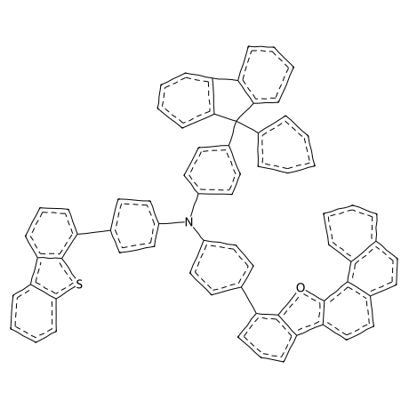 c1ccc(C2(c3ccc(N(c4ccc(-c5cccc6c5oc5c6ccc6ccc7ccccc7c65)cc4)c4ccc(-c5cccc6c5sc5ccccc56)cc4)cc3)c3ccccc3-c3ccccc32)cc1